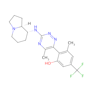 Cc1cc(C(F)(F)F)cc(O)c1-c1nnc(N[C@@H]2CCCN3CCC[C@@H]23)nc1C